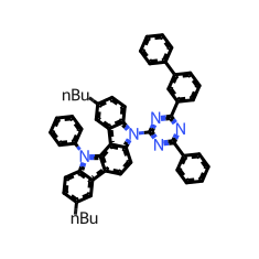 CCCCc1ccc2c(c1)c1c(ccc3c4cc(CCCC)ccc4n(-c4ccccc4)c31)n2-c1nc(-c2ccccc2)nc(-c2cccc(-c3ccccc3)c2)n1